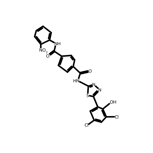 O=C(Nc1nnc(-c2cc(Cl)cc(Cl)c2O)s1)c1ccc(C(=O)Nc2ccccc2[N+](=O)[O-])cc1